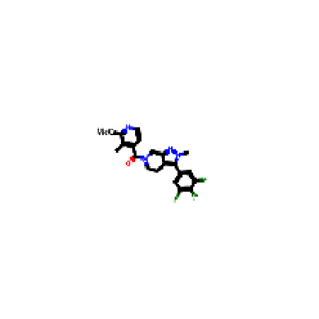 COc1nccc(C(=O)N2CCc3c(nn(C)c3-c3cc(F)c(F)c(F)c3)C2)c1C